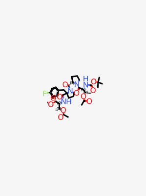 COC(=O)[C@@H](NC(=O)C1(Cc2ccc(F)cc2)CCCN1C(=O)[C@@H]1CCCN1C(=O)[C@@H](NC(=O)OC(C)(C)C)[C@@H](C)OC(C)=O)[C@@H](C)OC(C)=O